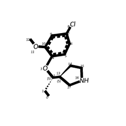 CC[C@H](Oc1ccc(Cl)cc1OC)[C@H]1CCNC1